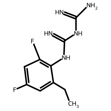 CCc1cc(F)cc(F)c1NC(=N)NC(=N)N